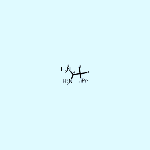 C[C](C)C(C)(C)C(N)N